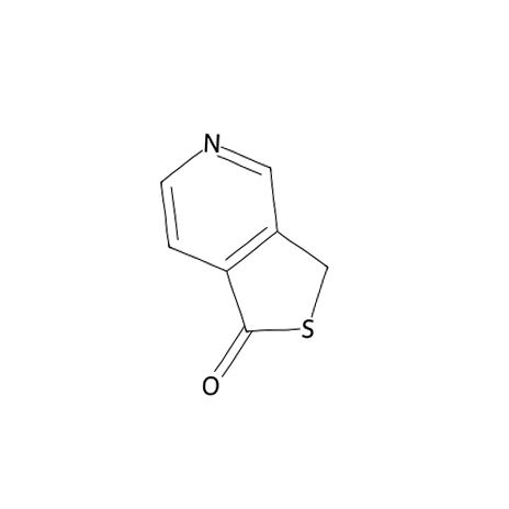 O=C1SCc2cnccc21